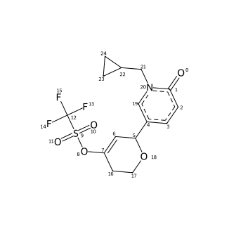 O=c1ccc(C2C=C(OS(=O)(=O)C(F)(F)F)CCO2)cn1CC1CC1